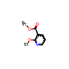 [CH2]C(C)OC(=O)c1cccnc1OCC